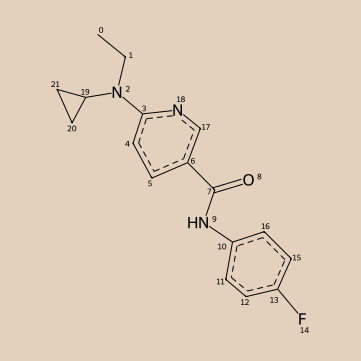 CCN(c1ccc(C(=O)Nc2ccc(F)cc2)cn1)C1CC1